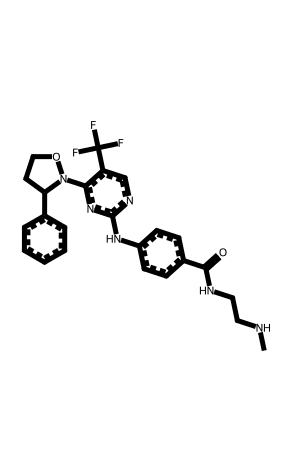 CNCCNC(=O)c1ccc(Nc2ncc(C(F)(F)F)c(N3OCCC3c3ccccc3)n2)cc1